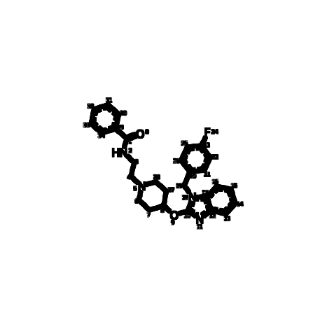 O=C(NCCN1CCC(Oc2nc3ccccc3n2Cc2ccc(F)cc2)CC1)c1ccccc1